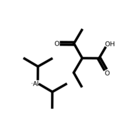 CCC(C(C)=O)C(=O)O.C[CH](C)[Al][CH](C)C